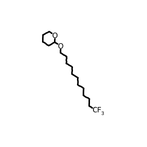 FC(F)(F)CCCCCCCCCCCOC1CCCCO1